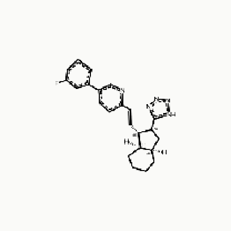 Fc1cccc(-c2ccc(C=C[C@H]3[C@@H]4CCCC[C@@H]4C[C@@H]3c3nnn[nH]3)nc2)c1